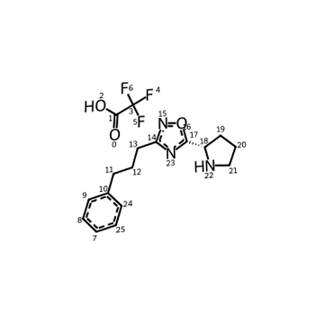 O=C(O)C(F)(F)F.c1ccc(CCCc2noc([C@@H]3CCCN3)n2)cc1